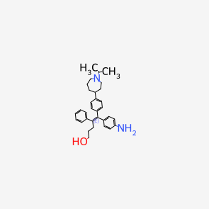 CC(C)N1CCCC(c2ccc(/C(=C(/CCCO)c3ccccc3)c3ccc(N)cc3)cc2)CC1